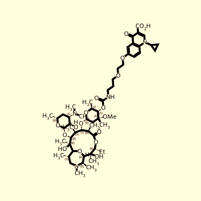 CC[C@H]1OC(=O)[C@H](C)[C@@H](O[C@H]2C[C@@](C)(OC)[C@@H](OC(=O)NCCCOCCOc3ccc4c(c3)c(=O)c(C(=O)O)cn4C3CC3)[C@H](C)O2)[C@H](C)[C@@H](O[C@@H]2O[C@H](C)C[C@H](N(C)C)[C@H]2O)[C@](C)(O)C2O[C@H]([C@@H](C)N(C)C[C@@H]2C)[C@]1(C)O